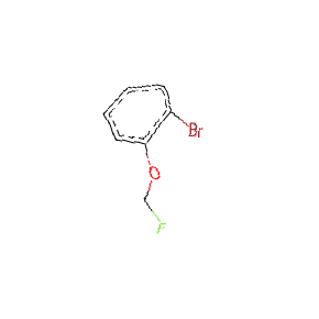 FCOc1ccccc1Br